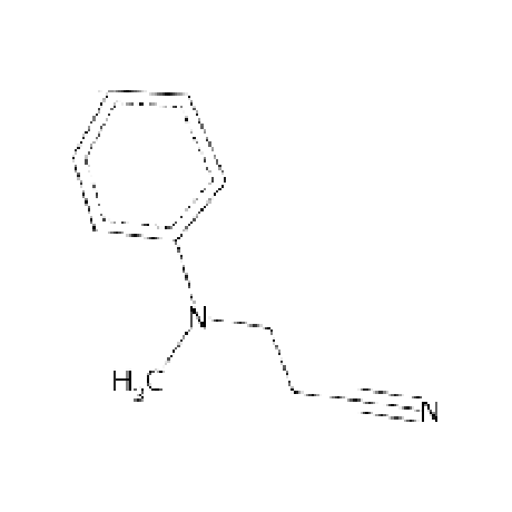 CN(CCC#N)c1cc[c]cc1